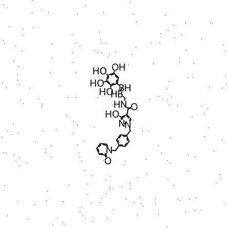 O=C(NCBBc1cc(O)c(O)c(O)c1O)c1cn(Cc2ccc(Cn3ccccc3=O)cc2)nc1O